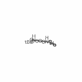 CC(C)(C)OC(=O)NCCOCCOCCOCCNCc1cccc2c1ccn2Cc1ccccc1